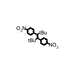 CC(C)(C)/C(=C(\c1ccc([N+](=O)[O-])cc1)C(C)(C)C)c1ccc([N+](=O)[O-])cc1